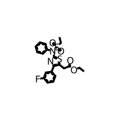 CCOC(=O)Cc1sc(N(c2ccccc2)S(=O)(=O)CC)nc1-c1cccc(F)c1